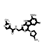 CNc1cc(F)cc2c1[nH]c1nc(CNC(=O)c3cnc(C)o3)nc(N3CCC(N)C3)c12